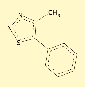 Cc1nnsc1-c1cc[c]cc1